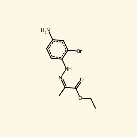 CCOC(=O)/C(C)=N\Nc1ccc(N)cc1Br